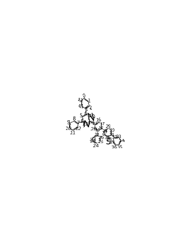 c1ccc(-c2cc(-c3ccccc3)nc(-c3ccc4c(c3)c3ccccc3c3c4ccc4c5ccccc5sc43)n2)cc1